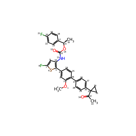 COc1cc(-c2sc(F)cc2NC(=O)O[C@H](C)c2ccc(F)cc2)ccc1-c1ccc(C2(C(C)=O)CC2)cc1